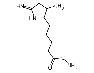 CC1CC(=N)NC1CCCCC(=O)ON